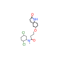 CN(C(=O)CCCOc1ccc2[nH]c(=O)ccc2c1)C1CC(Cl)CCC1Cl